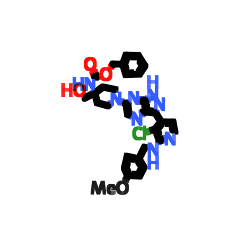 COc1ccc(CNc2nccc(-c3n[nH]c4nc(N5CCC(CO)(NC(=O)OCc6ccccc6)CC5)cnc34)c2Cl)cc1